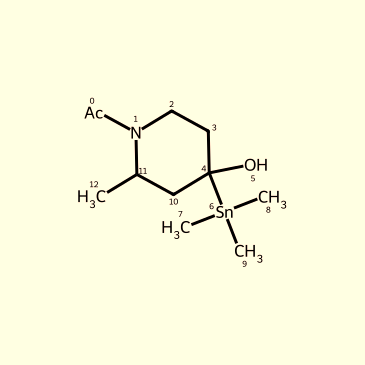 CC(=O)N1CC[C](O)([Sn]([CH3])([CH3])[CH3])CC1C